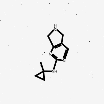 CC1(Nc2ncc3c(n2)CNC3)CC1